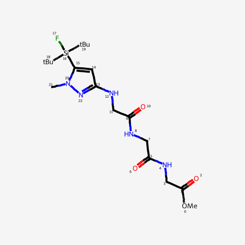 COC(=O)CNC(=O)CNC(=O)CNc1cc([Si](F)(C(C)(C)C)C(C)(C)C)n(C)n1